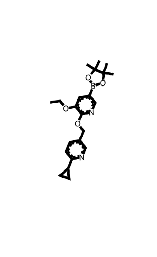 CCOc1cc(B2OC(C)(C)C(C)(C)O2)cnc1OCc1ccc(C2CC2)nc1